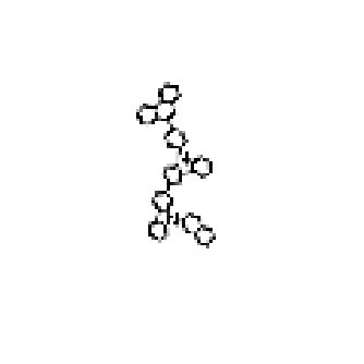 c1ccc2cc(-n3c4ccccc4c4ccc(-c5ccc6c(c5)c5ccccc5n6-c5ccc(-c6cc7ccccc7c7ccccc67)cc5)cc43)ccc2c1